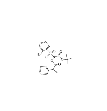 C[C@H](C(=O)ON(C(=O)OC(C)(C)C)S(=O)(=O)c1ccccc1Br)c1ccccc1